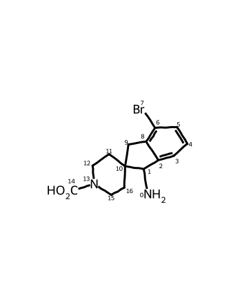 NC1c2cccc(Br)c2CC12CCN(C(=O)O)CC2